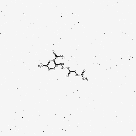 CC(=O)OCC(=O)OONc1ccc(C)cc1C(N)=O